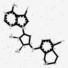 Nc1ncnc2c1c(F)cn2C1CC(Oc2ccc(F)c3c2CNCC3)[C@@H](O)[C@H]1O